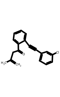 C=C(C)CC(=O)c1ccccc1C#Cc1cccc(Cl)c1